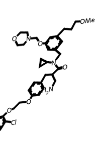 COCCCc1cc(CN(C(=O)C(CN)Cc2ccc(OCCOc3c(Cl)cc(C)cc3Cl)cc2)C2CC2)cc(OCN2CCOCC2)c1